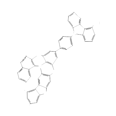 Cc1cccc2c1c1ccccc1n2-c1ccc(-c2cc3c4c(c2)Oc2ccc5ccccc5c2B4c2cc4c(cc2O3)oc2ccccc24)cc1